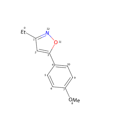 CCc1cc(-c2ccc(OC)cc2)on1